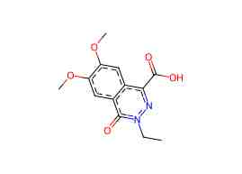 CCn1nc(C(=O)O)c2cc(OC)c(OC)cc2c1=O